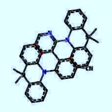 C[Si]1(C)c2ccccc2N(c2ccc(C#N)cc2-c2cccnc2N2c3ccccc3[Si](C)(C)c3ccccc32)c2ccccc21